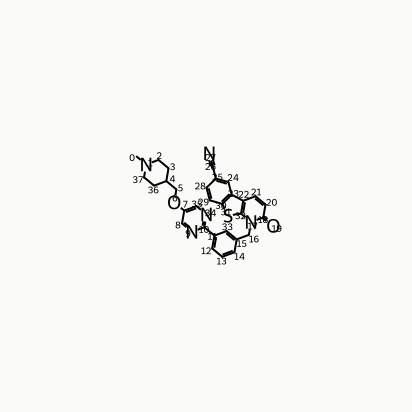 CN1CCC(COc2cnc(-c3cccc(Cn4c(=O)ccc5c6cc(C#N)ccc6sc54)c3)nc2)CC1